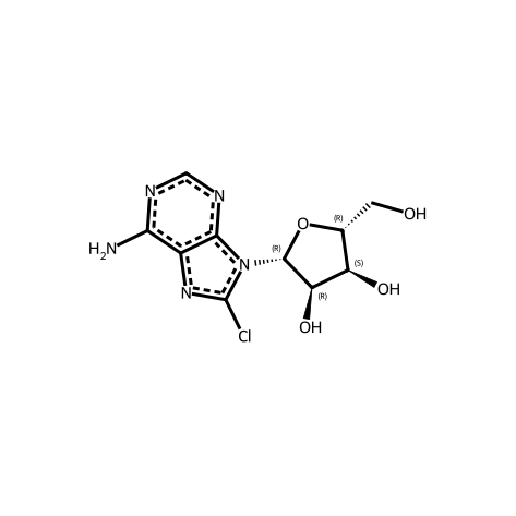 Nc1ncnc2c1nc(Cl)n2[C@@H]1O[C@H](CO)[C@@H](O)[C@H]1O